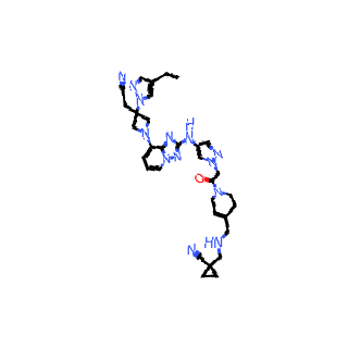 CCc1cnn(C2(CC#N)CN(c3cccn4nc(Nc5cnn(CC(=O)N6CCC(CNCC7(C#N)CC7)CC6)c5)nc34)C2)c1